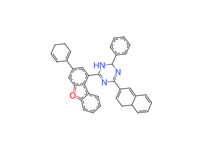 C1=CC2=CC(C3=NC(c4ccccc4)NC(c4cc(C5=CCCC=C5)cc5oc6ccccc6c45)=N3)=CCC2C=C1